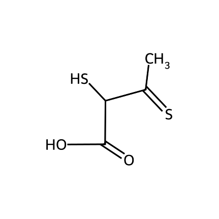 CC(=S)C(S)C(=O)O